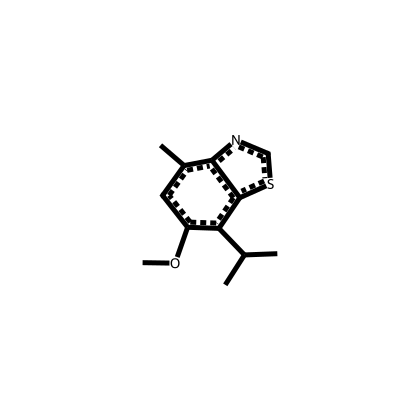 COc1cc(C)c2ncsc2c1C(C)C